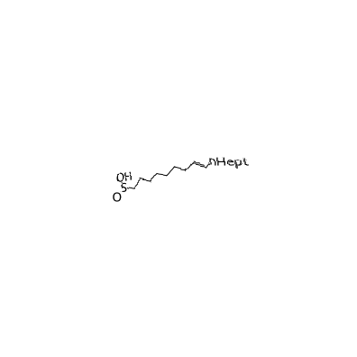 CCCCCCCC=CCCCCCCCS(=O)O